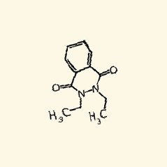 CCn1c(=O)c2ccccc2c(=O)n1CC